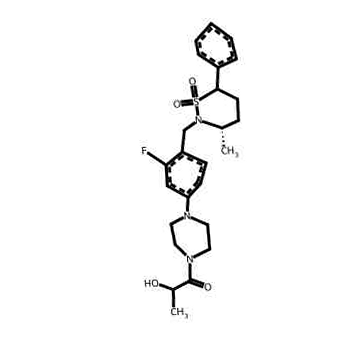 CC(O)C(=O)N1CCN(c2ccc(CN3[C@@H](C)CCC(c4ccccc4)S3(=O)=O)c(F)c2)CC1